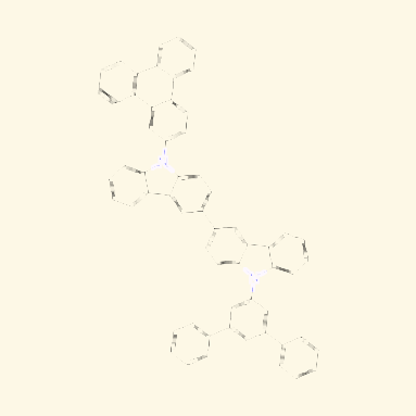 c1ccc2c(c#1)c1cc(-n3c4ccccc4c4cc(-c5ccc6c(c5)c5ccccc5n6-c5cc(-c6ccccc6)cc(-c6ccccc6)c5)ccc43)ccc1c1ccccc21